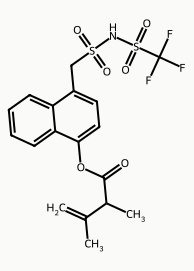 C=C(C)C(C)C(=O)Oc1ccc(CS(=O)(=O)NS(=O)(=O)C(F)(F)F)c2ccccc12